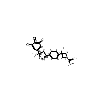 CCCC(=O)N1CC(F)(c2ccc(C3=NOC(c4cc(Cl)c(Cl)c(Cl)c4)(C(F)(F)F)C3)cc2)C1